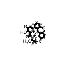 CC(N1CN([C@@H]2C3=C(C=CC(Cl)C3)SCc3ccccc32)n2ccc(=O)c(O)c2C1=O)C(F)(F)F